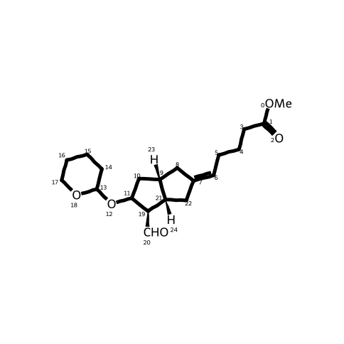 COC(=O)CCC/C=C1\C[C@H]2CC(OC3CCCCO3)[C@H](C=O)[C@H]2C1